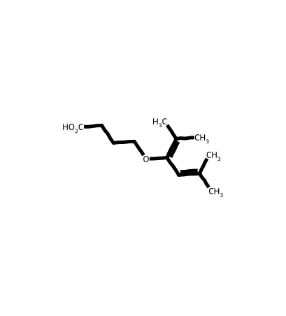 CC(C)=CC(OCCCC(=O)O)=C(C)C